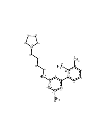 Cc1cccc(-c2cc(NCCCCN3CCCC3)nc(N)n2)c1C